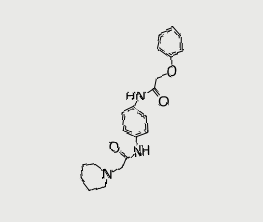 O=C(COc1ccccc1)Nc1ccc(NC(=O)CN2CCCCC2)cc1